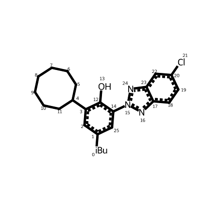 CCC(C)c1cc(C2CCCCCCC2)c(O)c(-n2nc3ccc(Cl)cc3n2)c1